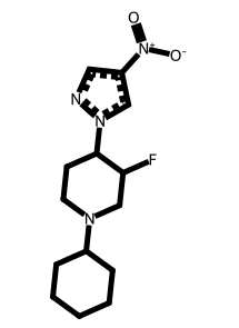 O=[N+]([O-])c1cnn(C2CCN(C3CCCCC3)CC2F)c1